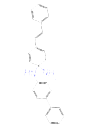 NC1(Nc2ccc(-c3ccccc3)cc2)C=CC(C=Cc2ccccc2)=CC1